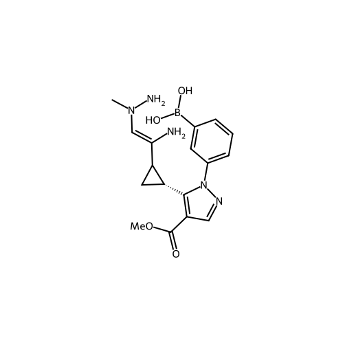 COC(=O)c1cnn(-c2cccc(B(O)O)c2)c1[C@@H]1CC1/C(N)=C/N(C)N